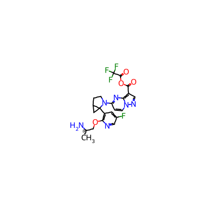 C[C@@H](N)COc1ncc(F)cc1C12CC1CCN2c1ccn2ncc(C(=O)OC(=O)C(F)(F)F)c2n1